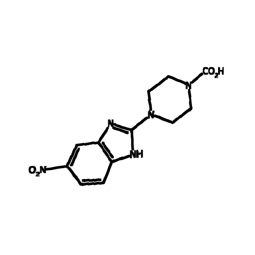 O=C(O)N1CCN(c2nc3cc([N+](=O)[O-])ccc3[nH]2)CC1